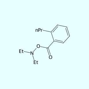 CCCc1ccccc1C(=O)ON(CC)CC